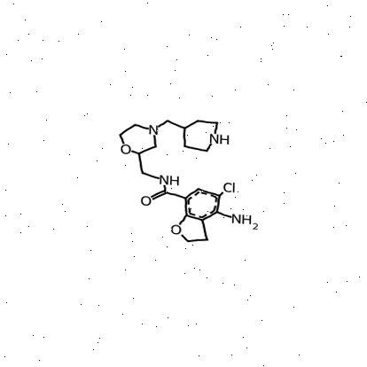 Nc1c(Cl)cc(C(=O)NCC2CN(CC3CCNCC3)CCO2)c2c1CCO2